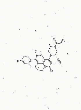 C=CC(=O)N1C[C@H](C#N)N(c2nc(=O)n3c4c(c(-c5ccc(F)cc5F)c(Cl)cc24)SCC3)C[C@H]1C